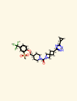 CS(=O)(=O)c1cc(C(F)(F)F)ccc1OCC1CCN(C(=O)N2CC3(CC(c4nc(C5CC5)n[nH]4)C3)C2)CC1